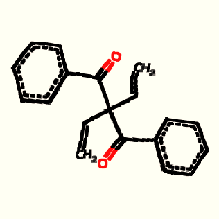 C=CC(C=C)(C(=O)c1ccccc1)C(=O)c1ccccc1